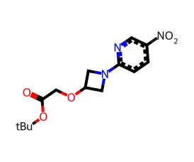 CC(C)(C)OC(=O)COC1CN(c2ccc([N+](=O)[O-])cn2)C1